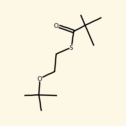 CC(C)(C)OCCSC(=O)C(C)(C)C